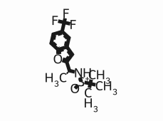 C[C@@H](N[S+]([O-])C(C)(C)C)c1cc2cc(C(F)(F)F)ccc2o1